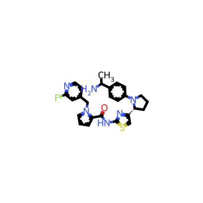 CC(N)c1ccc(N2CCC[C@@H]2c2csc(NC(=O)c3cccn3Cc3ccnc(F)c3)n2)cc1